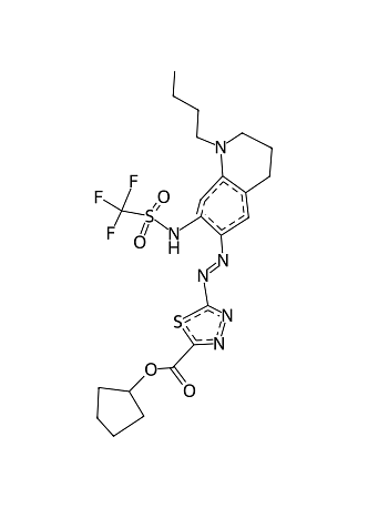 CCCCN1CCCc2cc(N=Nc3nnc(C(=O)OC4CCCC4)s3)c(NS(=O)(=O)C(F)(F)F)cc21